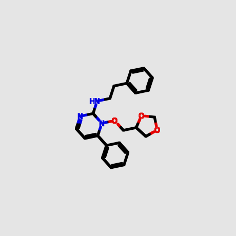 C1=NC(NCCc2ccccc2)N(OCC2COCO2)C(c2ccccc2)=C1